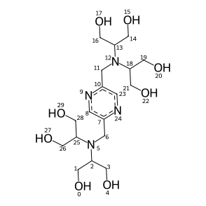 OCC(CO)N(Cc1cnc(CN(C(CO)CO)C(CO)CO)cn1)C(CO)CO